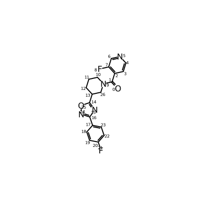 O=C(c1ccncc1F)N1CCCC(c2nc(-c3ccc(F)cc3)no2)C1